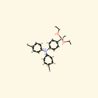 CCO[Si](C)(OCC)c1ccc(N(c2ccc(C)cc2)c2ccc(C)cc2)cc1